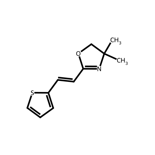 CC1(C)COC(C=Cc2cccs2)=N1